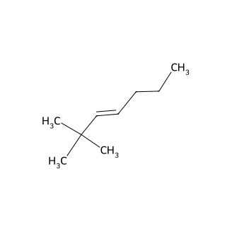 CCCC=CC(C)(C)C